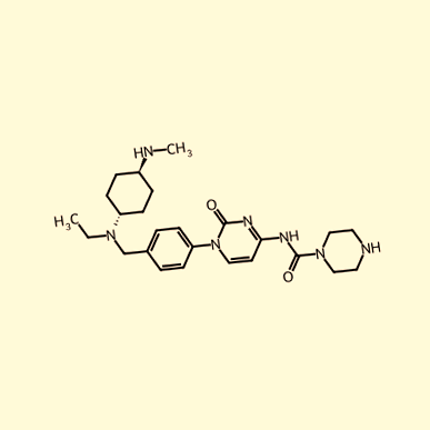 CCN(Cc1ccc(-n2ccc(NC(=O)N3CCNCC3)nc2=O)cc1)[C@H]1CC[C@H](NC)CC1